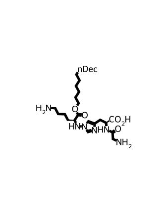 CCCCCCCCCCCCCCCCOC(=O)[C@H](CCCCN)Nn1cnc(C[C@H](NC(=O)CN)C(=O)O)c1